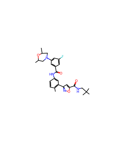 Cc1ccc(NC(=O)c2cc(F)cc(N3CC(C)OC(C)C3)c2)cc1-c1cc(C(=O)NCC(C)(C)C)on1